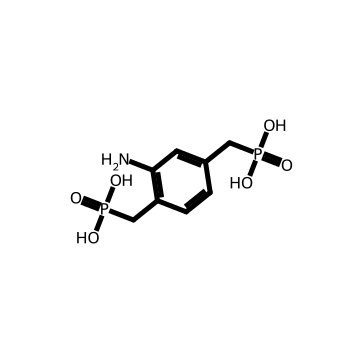 Nc1cc(CP(=O)(O)O)ccc1CP(=O)(O)O